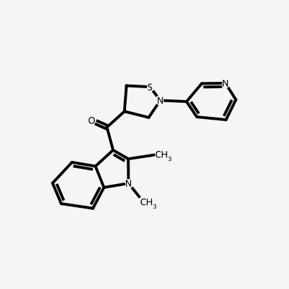 Cc1c(C(=O)C2CSN(c3cccnc3)C2)c2ccccc2n1C